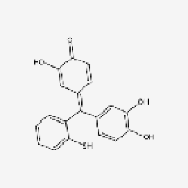 O=C1C=C/C(=C(\c2ccc(O)c(O)c2)c2ccccc2S)C=C1O